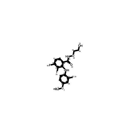 CCCCOc1ccc(Nc2c(C(=O)NOCCO)ccc(F)c2F)c(F)c1